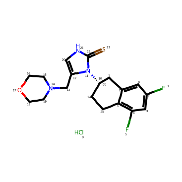 Cl.Fc1cc(F)c2c(c1)C[C@@H](n1c(CN3CCOCC3)c[nH]c1=S)CC2